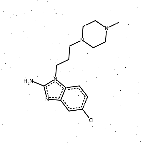 CN1CCN(CCCn2c(N)nc3cc(Cl)ccc32)CC1